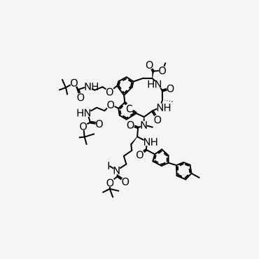 COC(=O)[C@@H]1Cc2ccc(OCCNC(=O)OC(C)(C)C)c(c2)-c2cc(ccc2OCCNC(=O)OC(C)(C)C)[C@H](N(C)C(=O)[C@H](CCCCN(I)C(=O)OC(C)(C)C)NC(=O)c2ccc(-c3ccc(C)cc3)cc2)C(=O)N[C@@H](C)C(=O)N1